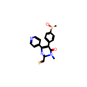 Cn1c(C=S)nc(-c2ccncc2)c(-c2ccc([S+](C)[O-])cc2)c1=O